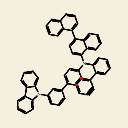 c1cccc(-c2ccccc2N(c2ccc(-c3cccc(-n4c5ccccc5c5ccccc54)c3)cc2)c2ccc(-c3cccc4ccccc34)c3ccccc23)c#1